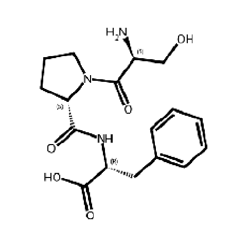 N[C@@H](CO)C(=O)N1CCC[C@H]1C(=O)N[C@H](Cc1ccccc1)C(=O)O